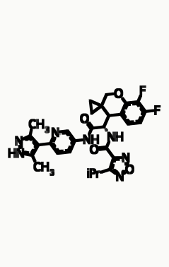 Cc1n[nH]c(C)c1-c1ccc(NC(=O)[C@@H](NC(=O)c2nonc2C(C)C)C2c3ccc(F)c(F)c3OCC23CC3)cn1